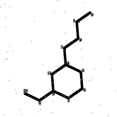 C[CH]CCC1CCCC(CC)C1